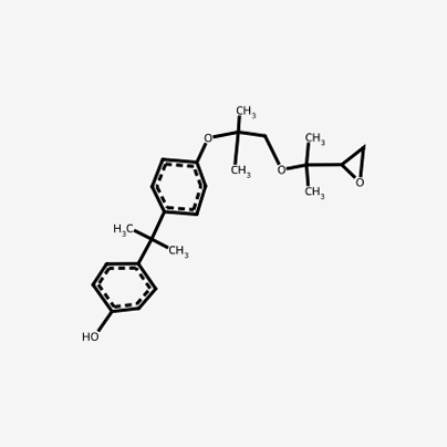 CC(C)(COC(C)(C)C1CO1)Oc1ccc(C(C)(C)c2ccc(O)cc2)cc1